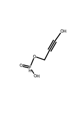 O=[PH](O)OCC#CO